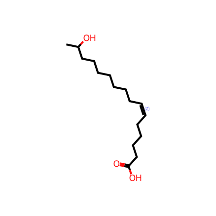 CC(O)CCCCCCC/C=C\CCCCC(=O)O